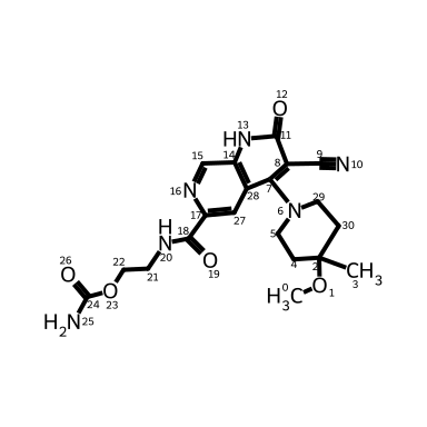 COC1(C)CCN(c2c(C#N)c(=O)[nH]c3cnc(C(=O)NCCOC(N)=O)cc23)CC1